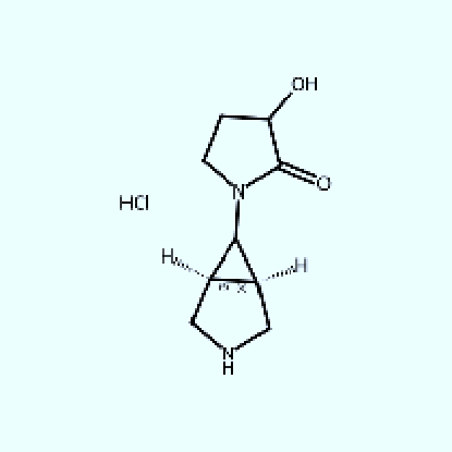 Cl.O=C1C(O)CCN1C1[C@H]2CNC[C@@H]12